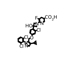 O=C(O)C1C=NC(N2CC(O)(c3ccc(OCc4c(C5CC5)cnn4-c4c(Cl)cccc4Cl)cc3Cl)C2)=C(F)C1